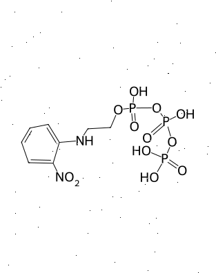 O=[N+]([O-])c1ccccc1NCCOP(=O)(O)OP(=O)(O)OP(=O)(O)O